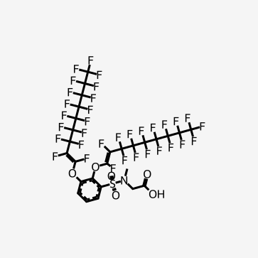 CN(CC(=O)O)S(=O)(=O)c1cccc(OC(F)=C(F)C(F)(F)C(F)(F)C(F)(F)C(F)(F)C(F)(F)C(F)(F)C(F)(F)F)c1OC(F)=C(F)C(F)(F)C(F)(F)C(F)(F)C(F)(F)C(F)(F)C(F)(F)C(F)(F)F